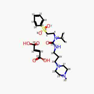 CC(C)N(CCS(=O)(=O)c1ccccc1)C(=O)NCCCN1CCN(C)CC1.O=C(O)C=CC(=O)O